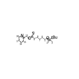 CC(C)(C)[Si](C)(C)OCCCCCC(=S)OCc1ccccn1